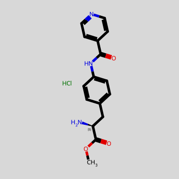 COC(=O)[C@@H](N)Cc1ccc(NC(=O)c2ccncc2)cc1.Cl